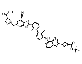 Cc1c(Nc2nccc3cc(C4CN(C(=O)OC(C)(C)C)C4)cnc23)cccc1-c1cccc(-c2nc3cc(CN4CCC(C(=O)O)C4)cc(C#N)c3o2)c1C